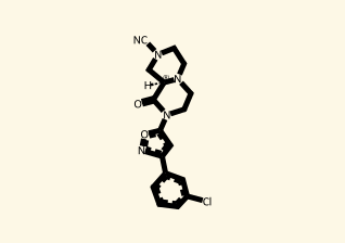 N#CN1CCN2CCN(c3cc(-c4cccc(Cl)c4)no3)C(=O)[C@H]2C1